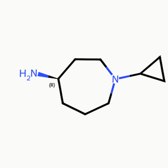 N[C@@H]1CCCN(C2CC2)CC1